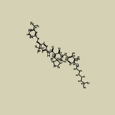 C=C(/C=C\C(=C/Cc1cc(C(C)F)ncn1)C(C)(C)F)NC(=C)C1=C(C)C2(CCCC2)N(C)N(Cc2ccc(OCCCCCC(C)C)c(F)c2C)C1=C